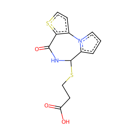 O=C(O)CCSC1NC(=O)c2sccc2-n2cccc21